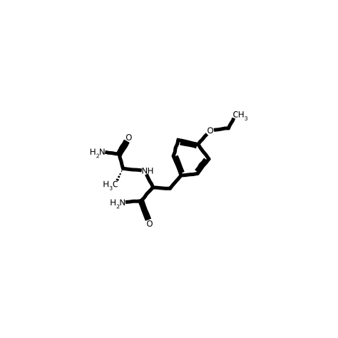 CCOc1ccc(CC(N[C@H](C)C(N)=O)C(N)=O)cc1